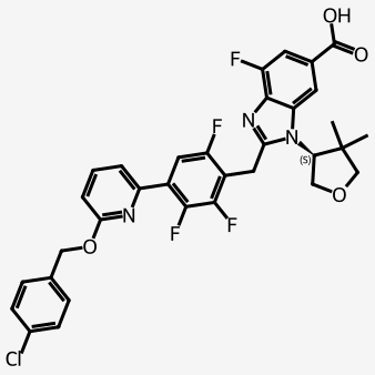 CC1(C)COC[C@H]1n1c(Cc2c(F)cc(-c3cccc(OCc4ccc(Cl)cc4)n3)c(F)c2F)nc2c(F)cc(C(=O)O)cc21